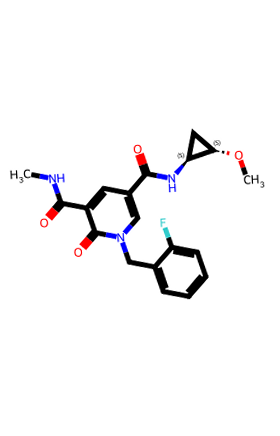 CNC(=O)c1cc(C(=O)N[C@H]2C[C@@H]2OC)cn(Cc2ccccc2F)c1=O